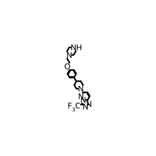 FC(F)(F)c1nnc2ccc(N3CCC(c4ccc(OCCN5CCNCC5)cc4)CC3)nn12